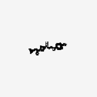 O=C(CC1CC1)N1CC(NCCOc2ccc(Br)cc2)C1